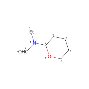 CCN([C]=O)C1CCCCO1